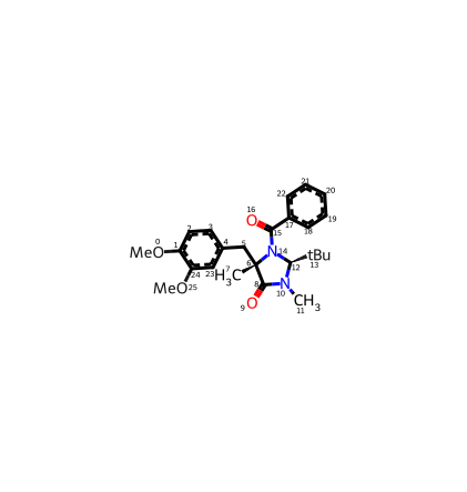 COc1ccc(C[C@@]2(C)C(=O)N(C)[C@H](C(C)(C)C)N2C(=O)c2ccccc2)cc1OC